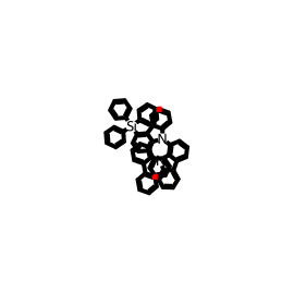 c1ccc(-c2ccccc2-n2c3ccccc3c3cccc(-n4c5ccccc5c5c([Si](c6ccccc6)(c6ccccc6)c6ccccc6)ccc(-c6ccccc6)c54)c32)cc1